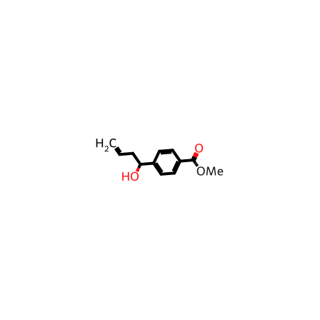 C=CCC(O)c1ccc(C(=O)OC)cc1